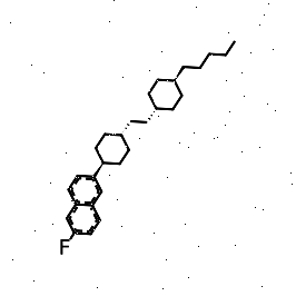 CCCCC[C@H]1CC[C@H](CC[C@H]2CC[C@H](c3ccc4cc(F)ccc4c3)CC2)CC1